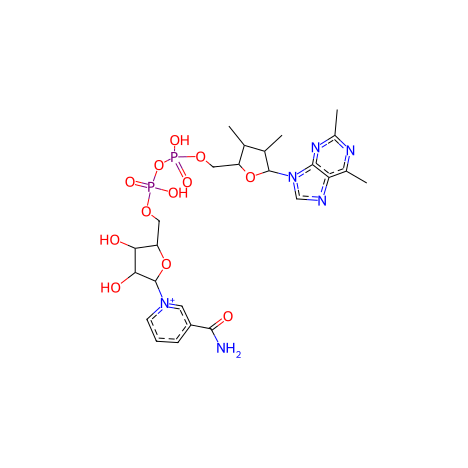 Cc1nc(C)c2ncn(C3OC(COP(=O)(O)OP(=O)(O)OCC4OC([n+]5cccc(C(N)=O)c5)C(O)C4O)C(C)C3C)c2n1